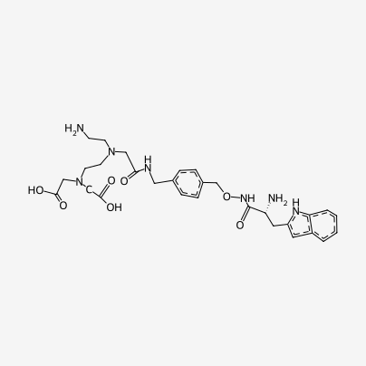 NCCN(CCN(CC(=O)O)CC(=O)O)CC(=O)NCc1ccc(CONC(=O)[C@H](N)Cc2cc3ccccc3[nH]2)cc1